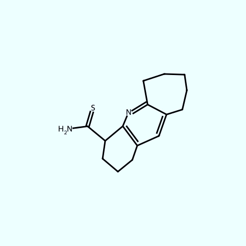 NC(=S)C1CCCc2cc3c(nc21)CCCCC3